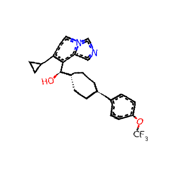 O[C@@H](c1c(C2CC2)ccn2cncc12)[C@H]1CC[C@H](c2ccc(OC(F)(F)F)cc2)CC1